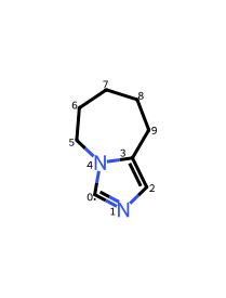 [c]1ncc2n1CCCCC2